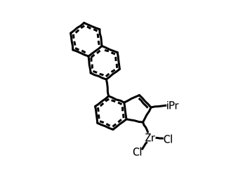 CC(C)C1=Cc2c(-c3ccc4ccccc4c3)cccc2[CH]1[Zr]([Cl])[Cl]